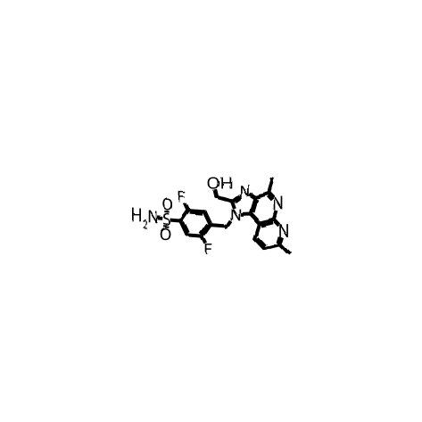 Cc1ccc2c(n1)nc(C)c1nc(CO)n(Cc3cc(F)c(S(N)(=O)=O)cc3F)c12